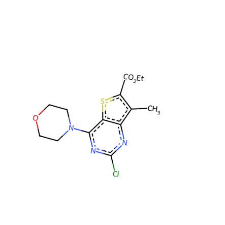 CCOC(=O)c1sc2c(N3CCOCC3)nc(Cl)nc2c1C